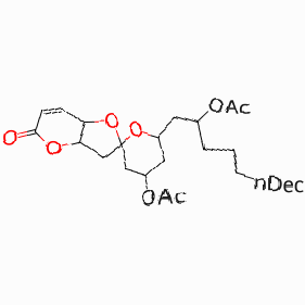 CCCCCCCCCCCCCC(CC1CC(OC(C)=O)CC2(CC3OC(=O)C=CC3O2)O1)OC(C)=O